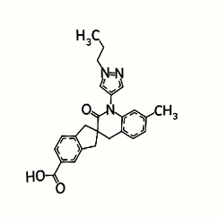 CCCn1cc(N2C(=O)C3(Cc4ccc(C(=O)O)cc4C3)Cc3ccc(C)cc32)cn1